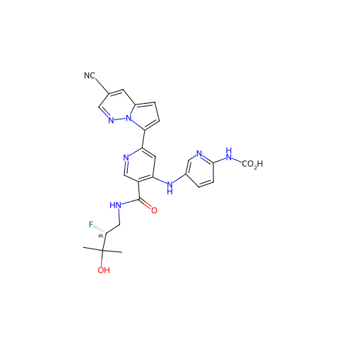 CC(C)(O)[C@H](F)CNC(=O)c1cnc(-c2ccc3cc(C#N)cnn23)cc1Nc1ccc(NC(=O)O)nc1